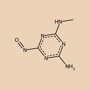 CNc1nc(N)nc(N=O)n1